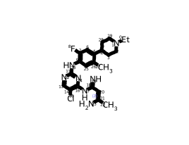 CCN1CCC(c2cc(F)c(Nc3ncc(Cl)c(NC(=N)/C=C(/C)N)n3)cc2C)CC1